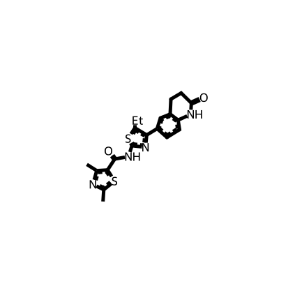 CCc1sc(NC(=O)c2sc(C)nc2C)nc1-c1ccc2c(c1)CCC(=O)N2